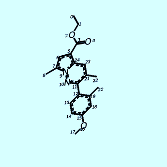 CCOC(=O)c1cc(C)n2nc(-c3ccc(OC)cc3C)c(C)cc12